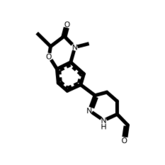 CC1Oc2ccc(C3=NNC(C=O)CC3)cc2N(C)C1=O